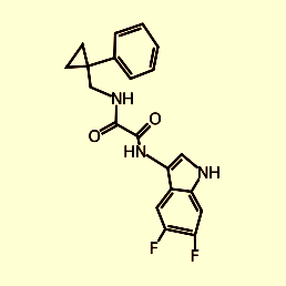 O=C(NCC1(c2ccccc2)CC1)C(=O)Nc1c[nH]c2cc(F)c(F)cc12